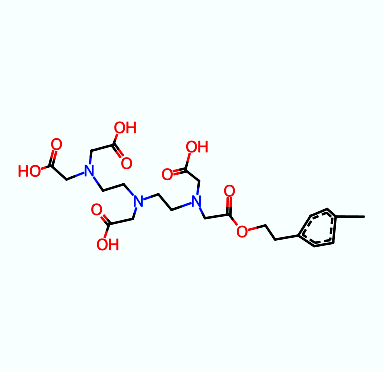 Cc1ccc(CCOC(=O)CN(CCN(CCN(CC(=O)O)CC(=O)O)CC(=O)O)CC(=O)O)cc1